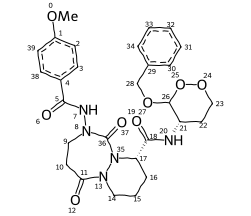 COc1ccc(C(=O)NN2CCC(=O)N3CCC[C@@H](C(=O)N[C@H]4CCOOC4OCc4ccccc4)N3C2=O)cc1